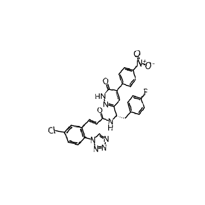 O=C(/C=C/c1cc(Cl)ccc1-n1cnnn1)N[C@@H](Cc1ccc(F)cc1)c1cc(-c2ccc([N+](=O)[O-])cc2)c(=O)[nH]n1